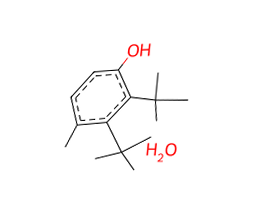 Cc1ccc(O)c(C(C)(C)C)c1C(C)(C)C.O